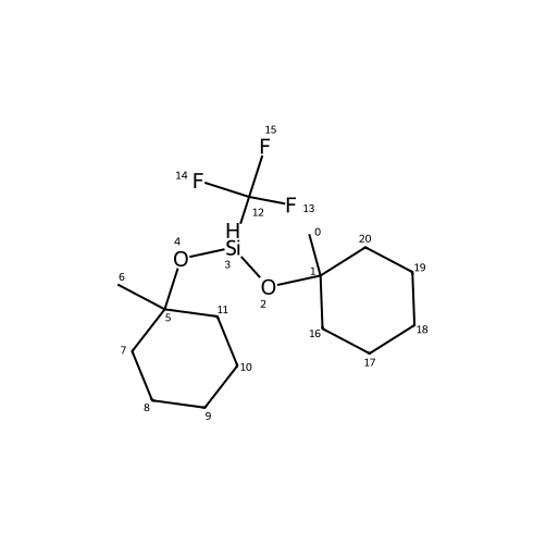 CC1(O[SiH](OC2(C)CCCCC2)C(F)(F)F)CCCCC1